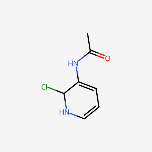 CC(=O)NC1=CC=CN[C]1Cl